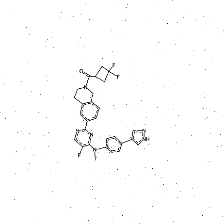 CN(c1ccc(-c2cn[nH]c2)cc1)c1nc(-c2ccc3c(c2)CCN(C(=O)C2CC(F)(F)C2)C3)ncc1F